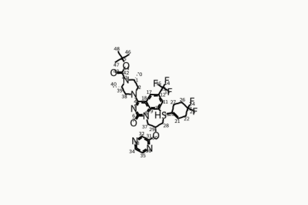 C[C@@H]1CN(c2nc(=O)n3c4c(cc(C(F)(F)F)cc24)[SH](C2=CCC(F)(F)CC2)C[C@@H](Oc2cnccn2)C3)C[C@H](C)N1C(=O)OC(C)(C)C